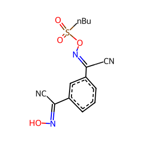 CCCCS(=O)(=O)ON=C(C#N)c1cccc(C(C#N)=NO)c1